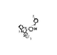 Fc1cccc(CC[C@H]2CN(C3=Nc4ccccc4Nc4sc(C(F)(F)F)nc43)CCN2)c1